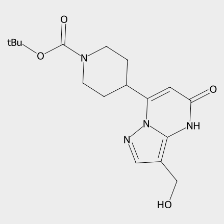 CC(C)(C)OC(=O)N1CCC(c2cc(=O)[nH]c3c(CO)cnn23)CC1